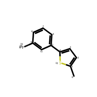 Cc1ccc(-c2cccc(C(C)C)c2)s1